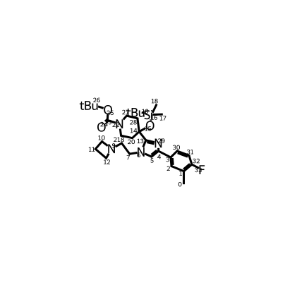 Cc1cc(-c2cn(CCN3CCC3)c(C3(O[Si](C)(C)C(C)(C)C)CCN(C(=O)OC(C)(C)C)CC3)n2)ccc1F